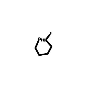 F[SiH]1CCCCO1